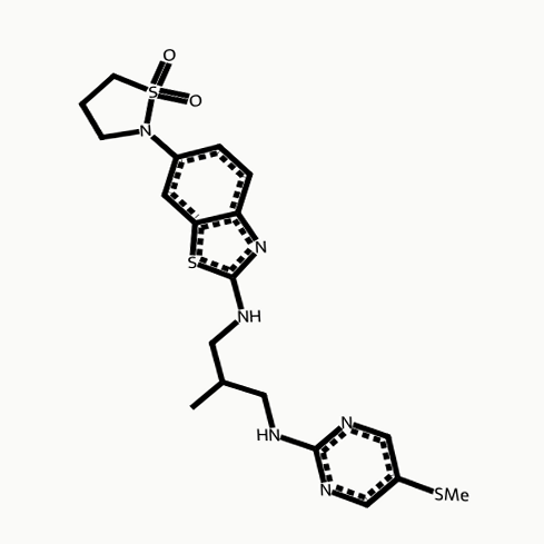 CSc1cnc(NCC(C)CNc2nc3ccc(N4CCCS4(=O)=O)cc3s2)nc1